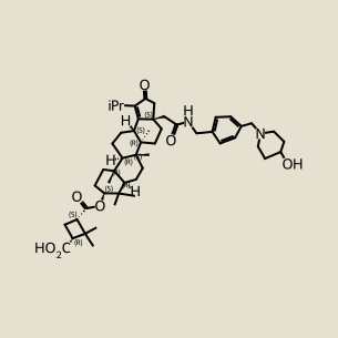 CC(C)C1=C2[C@H]3CC[C@@H]4[C@@]5(C)CC[C@H](OC(=O)[C@H]6C[C@@H](C(=O)O)C6(C)C)C(C)(C)[C@@H]5CC[C@@]4(C)[C@]3(C)CC[C@@]2(CC(=O)NCc2ccc(CN3CCC(O)CC3)cc2)CC1=O